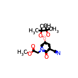 COC(=O)Cn1cc(B2OC(C)(C)C(C)(C)O2)cc(C#N)c1=O